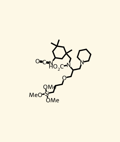 CO[Si](CCCOCC(CN1CCCCC1)N(CC1(C)CC(N=C=O)CC(C)(C)C1)C(=O)O)(OC)OC